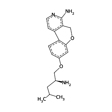 CC(C)C[C@H](N)COc1ccc2c(c1)OCc1c-2ccnc1N